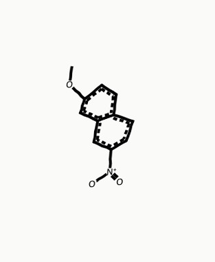 COc1ccc2ccc([N+](=O)[O-])cc2c1